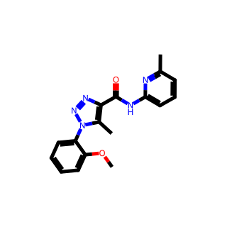 COc1ccccc1-n1nnc(C(=O)Nc2cccc(C)n2)c1C